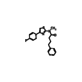 CN(C(=O)CCCc1ccccc1)c1nc(-c2ccc(F)cc2)cs1